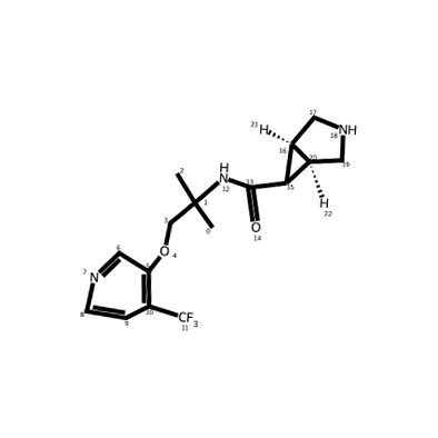 CC(C)(COc1cnccc1C(F)(F)F)NC(=O)C1[C@H]2CNC[C@@H]12